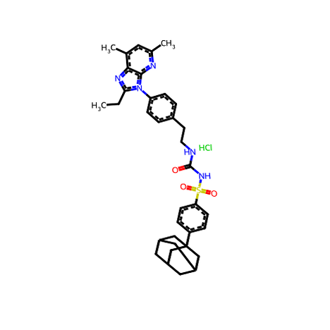 CCc1nc2c(C)cc(C)nc2n1-c1ccc(CCNC(=O)NS(=O)(=O)c2ccc(C34CC5CC(CC(C5)C3)C4)cc2)cc1.Cl